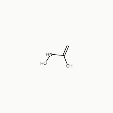 C=C(O)NO